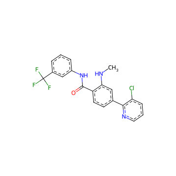 CNc1cc(-c2ncccc2Cl)ccc1C(=O)Nc1cccc(C(F)(F)F)c1